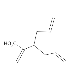 C=CCC(CC=C)C(=C)C(=O)O